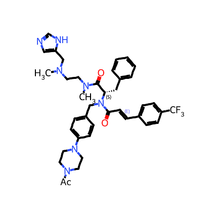 CC(=O)N1CCN(c2ccc(CN(C(=O)/C=C/c3ccc(C(F)(F)F)cc3)[C@@H](Cc3ccccc3)C(=O)N(C)CCN(C)Cc3cnc[nH]3)cc2)CC1